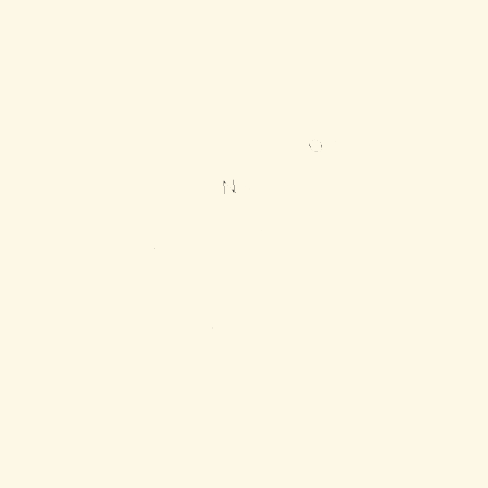 CC1Cc2ccccc2N1C=O